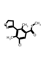 CSC(=O)c1cc(Cl)c(C)c(C2=NOCC2)c1C